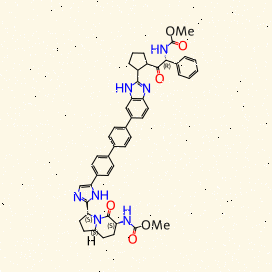 COC(=O)N[C@H]1CC[C@H]2CC[C@@H](c3ncc(-c4ccc(-c5ccc(-c6ccc7nc(C8CCCC8C(=O)[C@H](NC(=O)OC)c8ccccc8)[nH]c7c6)cc5)cc4)[nH]3)N2C1=O